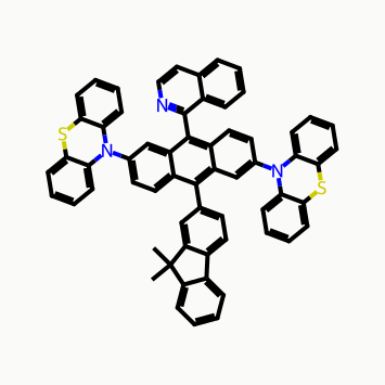 CC1(C)c2ccccc2-c2ccc(-c3c4cc(N5c6ccccc6Sc6ccccc65)ccc4c(-c4nccc5ccccc45)c4cc(N5c6ccccc6Sc6ccccc65)ccc34)cc21